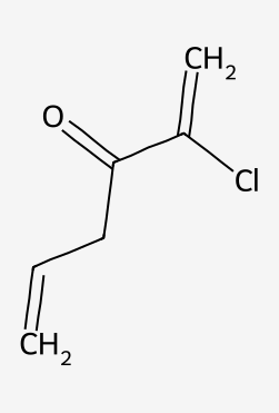 C=CCC(=O)C(=C)Cl